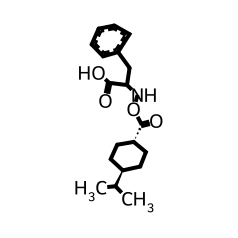 CC(C)[C@H]1CC[C@H](C(=O)ONC(Cc2ccccc2)C(=O)O)CC1